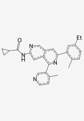 CCc1ccc(C)c(-c2cc3cnc(NC(=O)C4CC4)cc3c(-c3cnccc3C)n2)c1